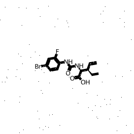 C=C[C@@H](CC)[C@H](NC(=O)Nc1ccc(Br)cc1F)C(=O)O